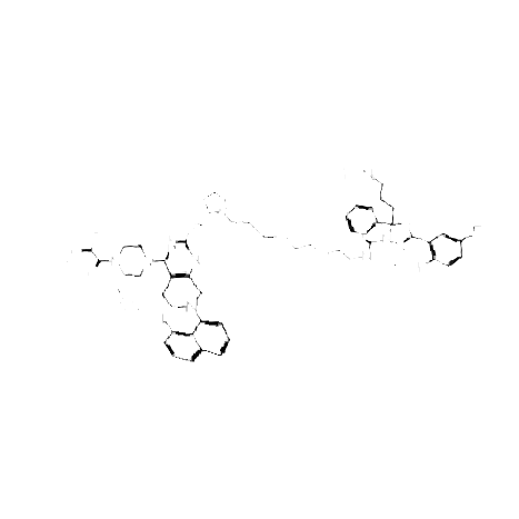 C=C(F)C(=O)N1CCN(c2nc(OC[C@@H]3CCCN3CCCOCCOCCN(C)C(=O)N3N=C(c4cc(F)ccc4F)SC3(CCCN)c3ccccc3)nc3c2CCN(c2cccc4cccc(Cl)c24)C3)C[C@@H]1CC#N